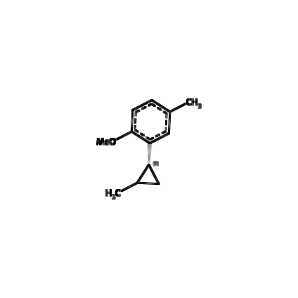 COc1ccc(C)cc1[C@@H]1CC1C